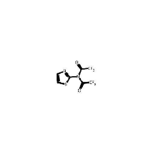 O=C(N(C(=O)C(F)(F)F)c1nccs1)C(F)(F)F